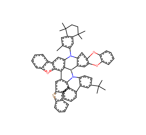 Cc1cc2c(cc1N1c3cc4c(cc3B3c5c1cc1c(oc6ccccc61)c5-c1cc5sc6ccccc6c5cc1N3c1ccc(C(C)(C)C)cc1-c1ccccc1)Oc1ccccc1O4)C(C)(C)CCC2(C)C